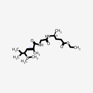 CCOC(=O)CC[C@H](C)NC(=O)CNC(=O)/C(C)=C/C(C(C)C)N(C)C